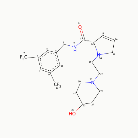 O=C(NCc1cc(C(F)(F)F)cc(C(F)(F)F)c1)[C@@H]1C=CCN1CCN1CCC(O)CC1